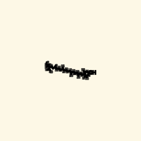 CCC(C)(C)C(/C=C/C(C)=C/C=C/C(C)=C/C=C/C=C(C)/C=C/C=C(C)/C=C/C1=C(C)CC(O)CC1(C)C)=C(C)C